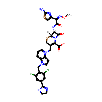 CO/N=C(\C(=O)N[C@@H]1C(=O)N2C(C(=O)[O-])=C(C[n+]3cccc4c3ccn4Cc3c(F)cc(C4=NCCN4)cc3Cl)CS[C@H]12)c1csc(N)n1